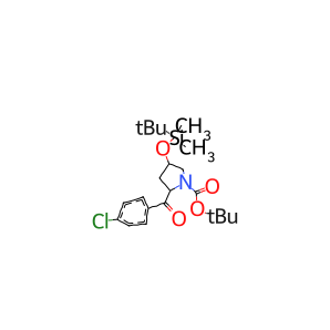 CC(C)(C)OC(=O)N1CC(O[Si](C)(C)C(C)(C)C)CC1C(=O)c1ccc(Cl)cc1